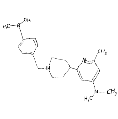 Cc1cc(N(C)C)cc(C2CCN(Cc3ccc(B(O)O)cc3)CC2)n1